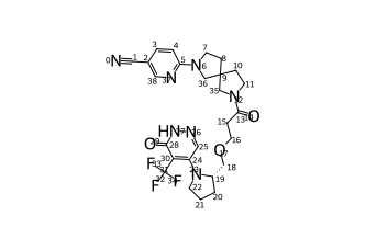 N#Cc1ccc(N2CCC3(CCN(C(=O)CCOC[C@@H]4CCCN4c4cn[nH]c(=O)c4C(F)(F)F)C3)C2)nc1